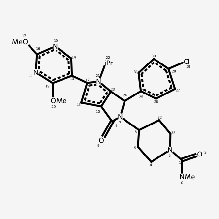 CNC(=O)N1CCC(N2C(=O)c3cc(-c4cnc(OC)nc4OC)n(C(C)C)c3C2c2ccc(Cl)cc2)CC1